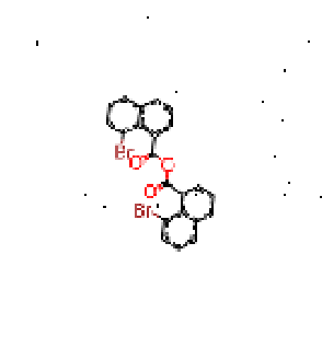 O=C(OC(=O)c1cccc2cccc(Br)c12)c1cccc2cccc(Br)c12